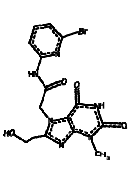 Cn1c(=O)[nH]c(=O)c2c1nc(CO)n2CC(=O)Nc1cccc(Br)n1